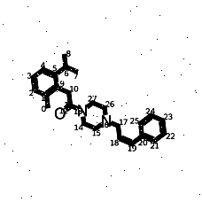 Cc1cccc(C(C)C)c1CC(=O)N1CCN(C/C=C\c2ccccc2)CC1